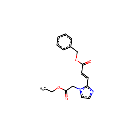 CCOC(=O)Cn1ccnc1/C=C/C(=O)OCc1ccccc1